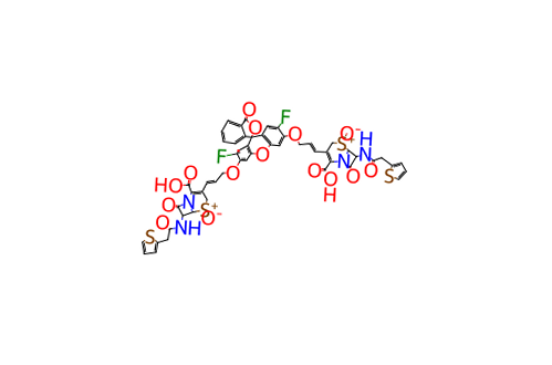 O=C(Cc1cccs1)NC1C(=O)N2C(C(=O)O)=C(C=CCOc3cc4c(cc3F)C3(OC(=O)c5ccccc53)c3cc(F)c(OCC=CC5=C(C(=O)O)N6C(=O)C(NC(=O)Cc7cccs7)C6[S+]([O-])C5)cc3O4)C[S+]([O-])C12